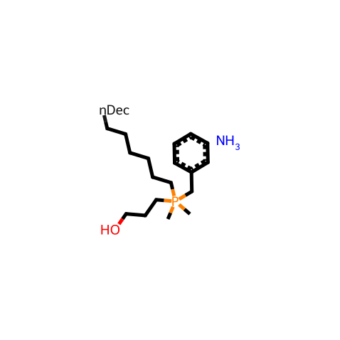 CCCCCCCCCCCCCCCCP(C)(C)(CCCO)Cc1ccccc1.N